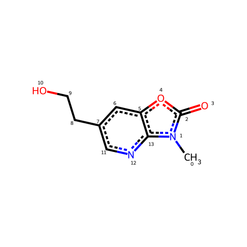 Cn1c(=O)oc2cc(CCO)cnc21